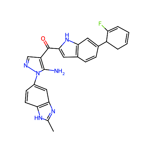 Cc1nc2cc(-n3ncc(C(=O)c4cc5ccc(C6CC=CC=C6F)cc5[nH]4)c3N)ccc2[nH]1